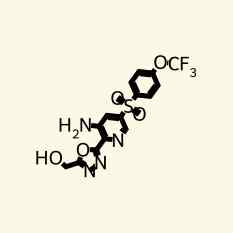 Nc1cc(S(=O)(=O)c2ccc(OC(F)(F)F)cc2)cnc1-c1nnc(CO)o1